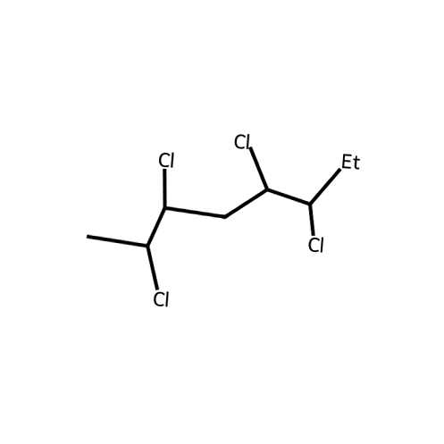 CCC(Cl)C(Cl)CC(Cl)C(C)Cl